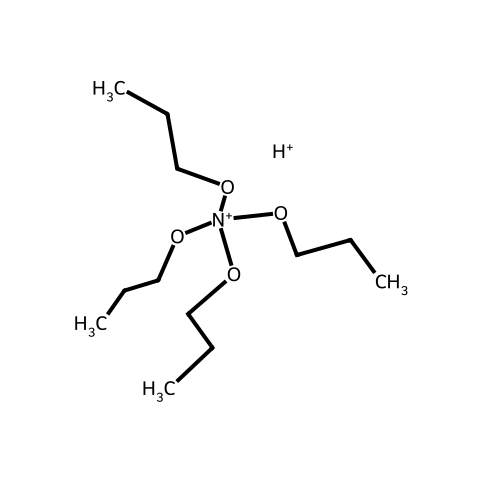 CCCO[N+](OCCC)(OCCC)OCCC.[H+]